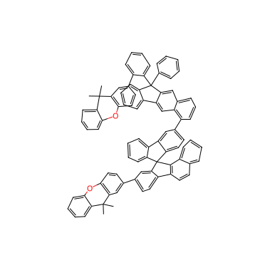 CC1(C)c2ccccc2Oc2ccc(-c3ccc4c(c3)C3(c5ccccc5-c5cc(-c6cccc7cc8c(cc67)-c6ccccc6C8(c6ccccc6)c6ccccc6-c6ccc7c(c6)C(C)(C)c6ccccc6O7)ccc53)c3c-4ccc4ccccc34)cc21